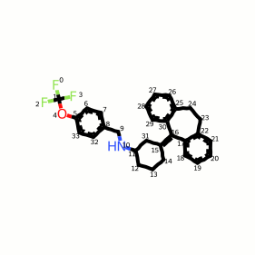 FC(F)(F)Oc1ccc(CNC2CCCC(=C3c4ccccc4CCc4ccccc43)C2)cc1